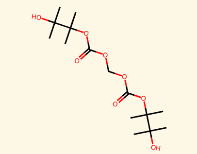 CC(C)(O)C(C)(C)OC(=O)OCOC(=O)OC(C)(C)C(C)(C)O